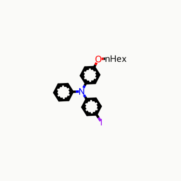 CCCCCCOc1ccc(N(c2ccccc2)c2ccc(I)cc2)cc1